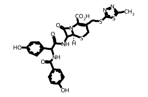 Cc1nnc(SCC2=C(C(=O)O)N3C(=O)C(NC(=O)C(NC(=O)c4ccc(O)cc4)c4ccc(O)cc4)[C@@H]3SC2)s1